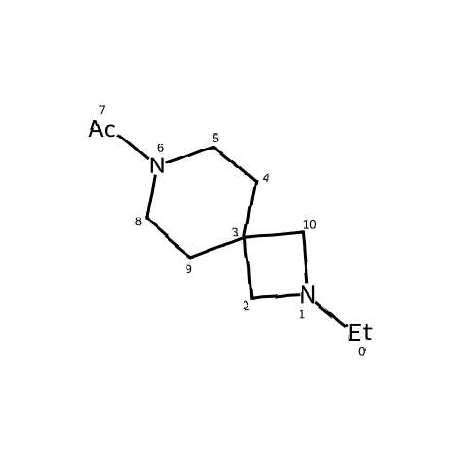 CCN1CC2(CCN(C(C)=O)CC2)C1